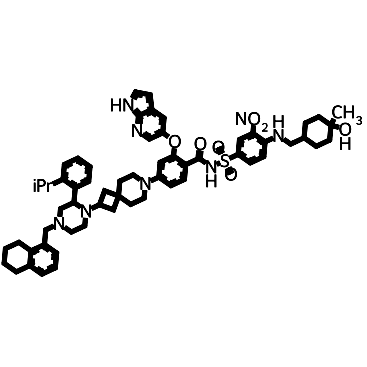 CC(C)c1ccccc1C1CN(Cc2cccc3c2CCCC3)CCN1C1CC2(CCN(c3ccc(C(=O)NS(=O)(=O)c4ccc(NCC5CCC(C)(O)CC5)c([N+](=O)[O-])c4)c(Oc4cnc5[nH]ccc5c4)c3)CC2)C1